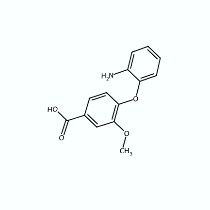 COc1cc(C(=O)O)ccc1Oc1ccccc1N